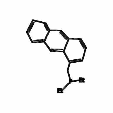 CCP(CC)Cc1cccc2cc3ccccc3cc12